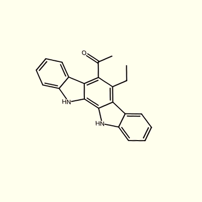 CCc1c(C(C)=O)c2c3ccccc3[nH]c2c2[nH]c3ccccc3c12